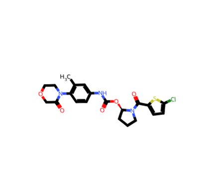 Cc1cc(NC(=O)O[C@@H]2CCCN2C(=O)c2ccc(Cl)s2)ccc1N1CCOCC1=O